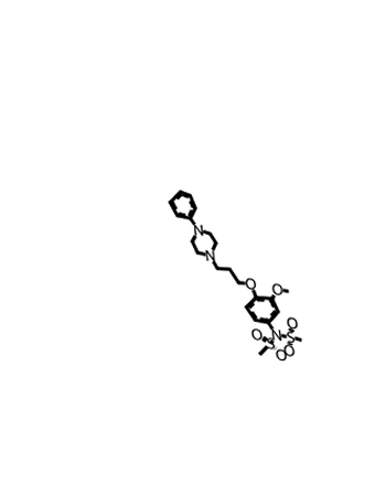 COc1cc(N(S(C)(=O)=O)S(C)(=O)=O)ccc1OCCCN1CCN(c2ccccc2)CC1